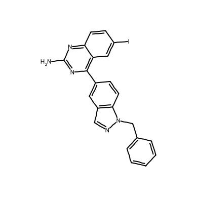 Nc1nc(-c2ccc3c(cnn3Cc3ccccc3)c2)c2cc(I)ccc2n1